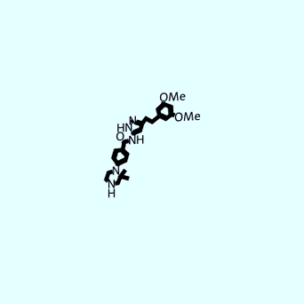 COc1cc(CCc2cc(NC(=O)c3ccc(N4CCNCC4(C)C)cc3)[nH]n2)cc(OC)c1